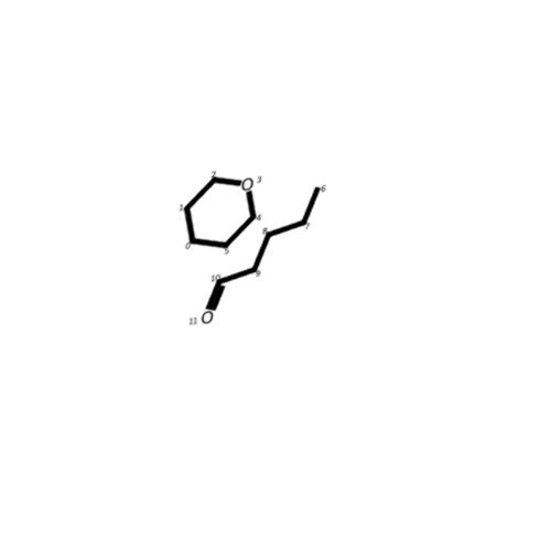 C1CCOCC1.CCCCC=O